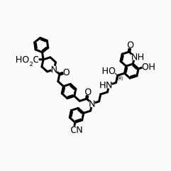 N#Cc1cccc(CN(CCCNC[C@H](O)c2ccc(O)c3[nH]c(=O)ccc23)C(=O)Cc2ccc(CC(=O)N3CCC(C(=O)O)(c4ccccc4)CC3)cc2)c1